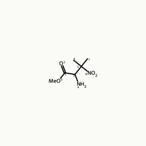 COC(=O)C(N)C(C)(C)[N+](=O)[O-]